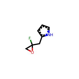 FC1(Cc2ccc[nH]2)CO1